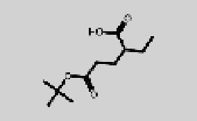 CCC(CCC(=O)OC(C)(C)C)C(=O)O